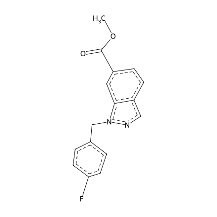 COC(=O)c1ccc2cnn(Cc3ccc(F)cc3)c2c1